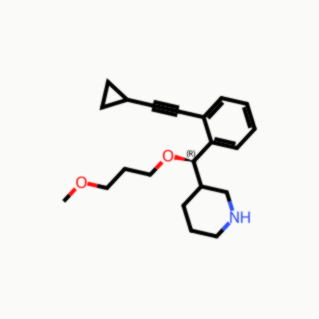 COCCCO[C@@H](c1ccccc1C#CC1CC1)C1CCCNC1